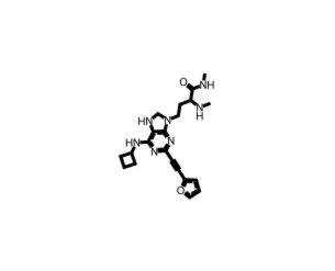 CNC(=O)C(CCN1CNc2c(NC3CCC3)nc(C#Cc3ccco3)nc21)NC